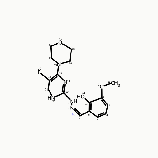 COc1cccc(/C=N\NC2=NC(N3CCOCC3)=C(F)CN2)c1O